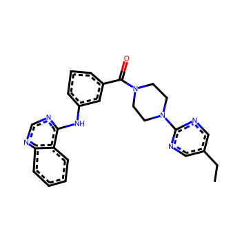 CCc1cnc(N2CCN(C(=O)c3cccc(Nc4ncnc5ccccc45)c3)CC2)nc1